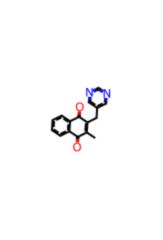 CC1=C(Cc2cncnc2)C(=O)c2ccccc2C1=O